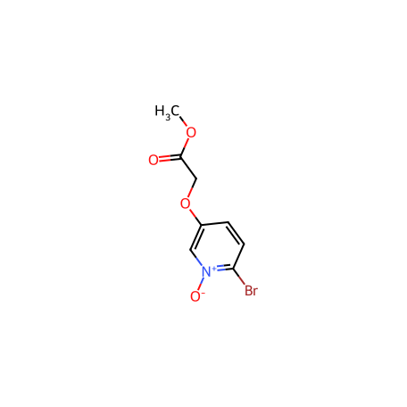 COC(=O)COc1ccc(Br)[n+]([O-])c1